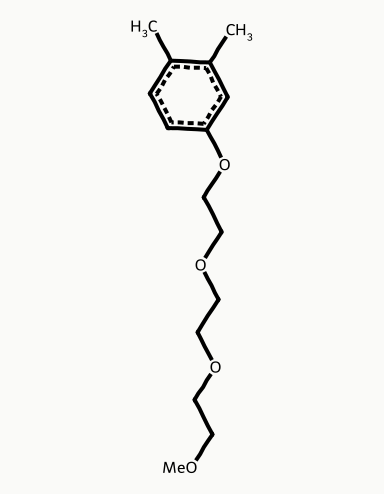 COCCOCCOCCOc1ccc(C)c(C)c1